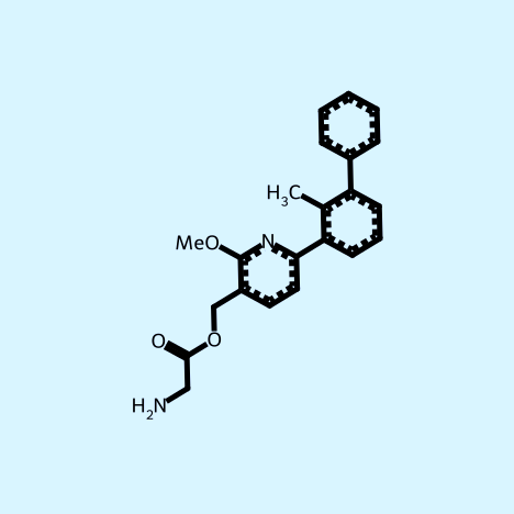 COc1nc(-c2cccc(-c3ccccc3)c2C)ccc1COC(=O)CN